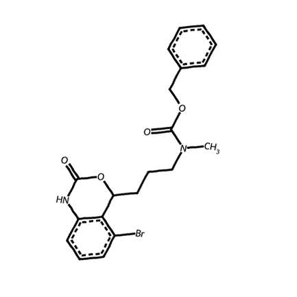 CN(CCCC1OC(=O)Nc2cccc(Br)c21)C(=O)OCc1ccccc1